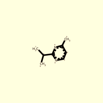 Cc1[c]cnc(C(C)C)n1